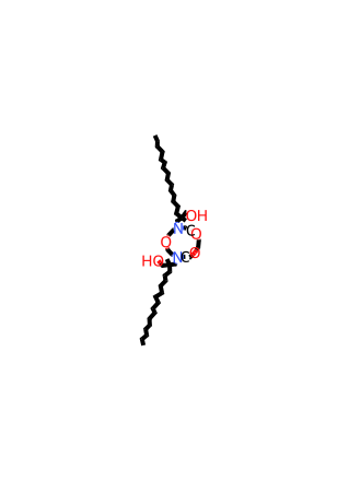 CCCCCCCCCCCCCCCC(C)(CO)CN1CCOCCOCCN(CC(C)(CO)CCCCCCCCCCCCCCC)CCOCC1